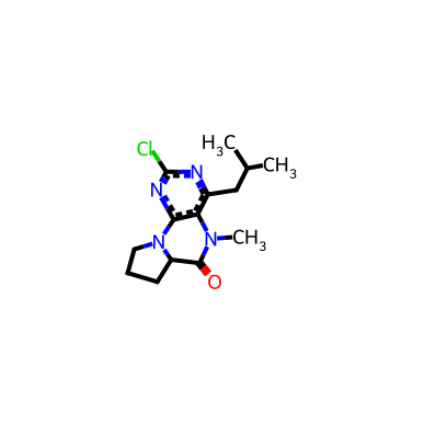 CC(C)Cc1nc(Cl)nc2c1N(C)C(=O)C1CCCN21